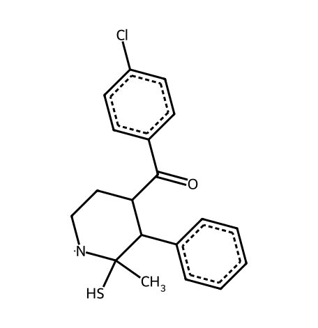 CC1(S)[N]CCC(C(=O)c2ccc(Cl)cc2)C1c1ccccc1